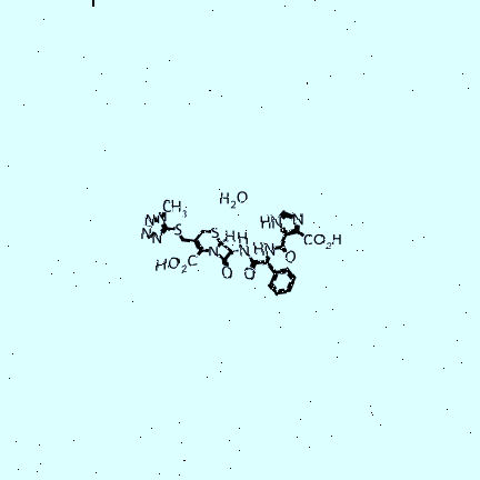 Cn1nnnc1SCC1=C(C(=O)O)N2C(=O)[C@@H](NC(=O)C(NC(=O)c3[nH]cnc3C(=O)O)c3ccccc3)[C@@H]2SC1.O